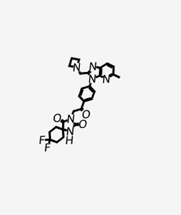 Cc1ccc2nc(CN3CCC3)n(-c3ccc(C(=O)CN4C(=O)NC5(CCC(F)(F)CC5)C4=O)cc3)c2n1